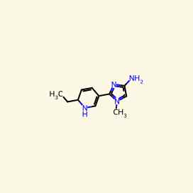 CCC1C=CC(c2nc(N)cn2C)=CN1